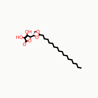 CCCCCCCCCCCCCCCCCC1OC[C@@H]([C@H]2OC(=O)C(O)=C2O)O1